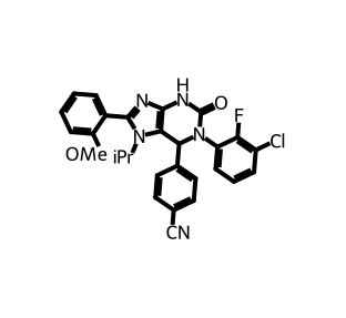 COc1ccccc1-c1nc2c(n1C(C)C)C(c1ccc(C#N)cc1)N(c1cccc(Cl)c1F)C(=O)N2